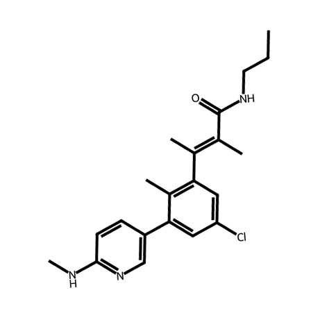 CCCNC(=O)/C(C)=C(\C)c1cc(Cl)cc(-c2ccc(NC)nc2)c1C